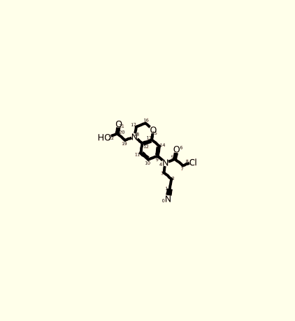 N#CCCN(C(=O)CCl)c1ccc2c(c1)OCCN2CC(=O)O